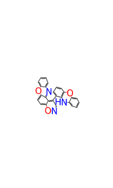 C1=NOc2ccc3c(c2=C1c1cccc2c1Nc1ccccc1O2)=Nc1ccccc1O3